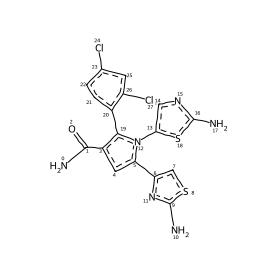 NC(=O)c1cc(-c2csc(N)n2)n(-c2[c]nc(N)s2)c1-c1ccc(Cl)cc1Cl